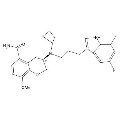 COc1ccc(C(N)=O)c2c1OC[C@H](N(CCCc1c[nH]c3c(F)cc(F)cc13)C1CCC1)C2